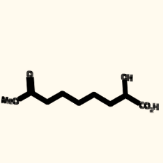 COC(=O)CCCCCC(O)C(=O)O